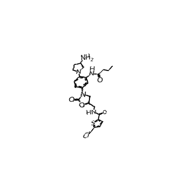 CCCC(=O)Nc1cc(N2CC(CNC(=O)c3ccc(Cl)s3)OC2=O)ccc1N1CCC(N)C1